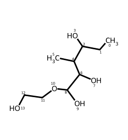 CCC(O)C(C)C(O)C(O)OCCO